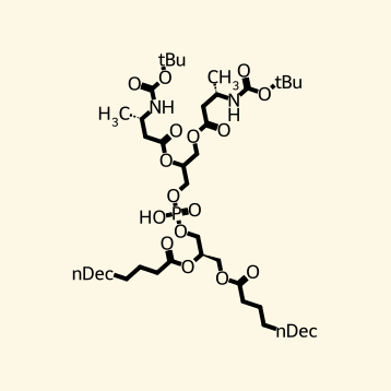 CCCCCCCCCCCCCC(=O)OC[C@H](COP(=O)(O)OCC(COC(=O)C[C@H](C)NC(=O)OC(C)(C)C)OC(=O)C[C@H](C)NC(=O)OC(C)(C)C)OC(=O)CCCCCCCCCCCCC